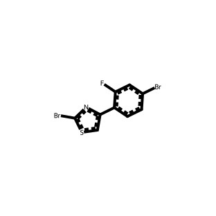 Fc1cc(Br)ccc1-c1csc(Br)n1